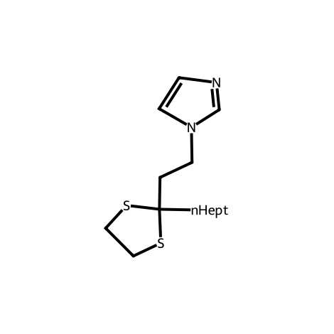 CCCCCCCC1(CCn2ccnc2)SCCS1